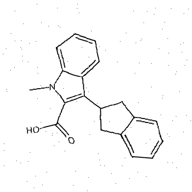 Cn1c(C(=O)O)c(C2Cc3ccccc3C2)c2ccccc21